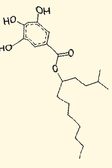 CCCCCCCC(CCC(C)C)OC(=O)c1cc(O)c(O)c(O)c1